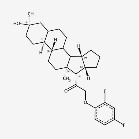 C[C@@]1(O)CC[C@H]2C(CCC3C4[C@@H]5CCC[C@@H]5[C@H](C(=O)COc5ccc(F)cc5F)[C@@]4(C)CC[C@@H]32)C1